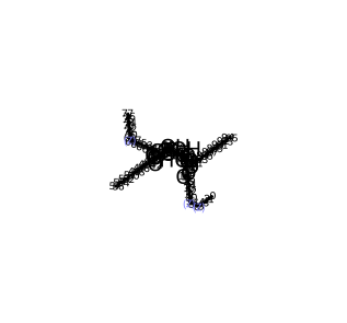 CCCCC/C=C\C/C=C\CCCCCCCC(=O)OC[C@H](COP(=O)(O)OC[C@@H](O)COP(=O)(O)OC[C@@H](COC(=O)CCCCCCCCCCCCCCC)OC(=O)CCCCCCC/C=C\CCCCCCCC)OC(=O)CCCCCCCCCCCCCCC